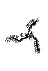 O=c1n(C/C=C/C(F)(F)C(F)(F)C(F)(F)C(F)(F)C(F)(F)C(F)(F)F)c(=O)n(C/C=C/C(F)(F)C(F)(F)C(F)(F)C(F)(F)C(F)(F)C(F)(F)F)c(=O)n1C/C=C/C(F)(F)C(F)(F)C(F)(F)C(F)(F)C(F)(F)C(F)(F)F